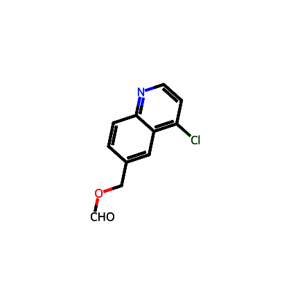 O=COCc1ccc2nccc(Cl)c2c1